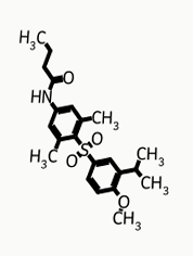 CCCC(=O)Nc1cc(C)c(S(=O)(=O)c2ccc(OC)c(C(C)C)c2)c(C)c1